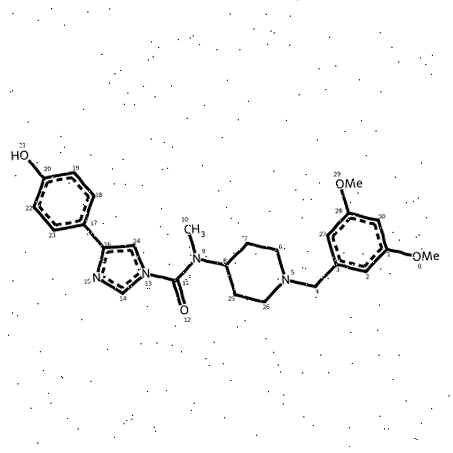 COc1cc(CN2CCC(N(C)C(=O)n3cnc(-c4ccc(O)cc4)c3)CC2)cc(OC)c1